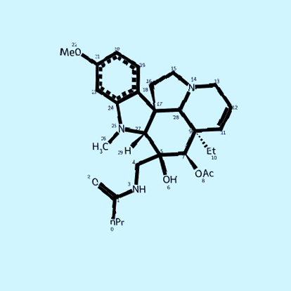 CCCC(=O)NCC1(O)[C@H](OC(C)=O)[C@]2(CC)C=CCN3CC[C@@]4(c5ccc(OC)cc5N(C)[C@@H]14)C32